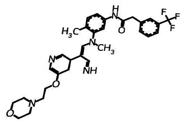 Cc1ccc(NC(=O)Cc2cccc(C(F)(F)F)c2)cc1N(C)/C=C(\C=N)C1C=NC=C(OCCN2CCOCC2)C1